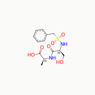 C[C@H](NC(=O)[C@H](CO)NS(=O)(=O)Cc1ccccc1)C(=O)O